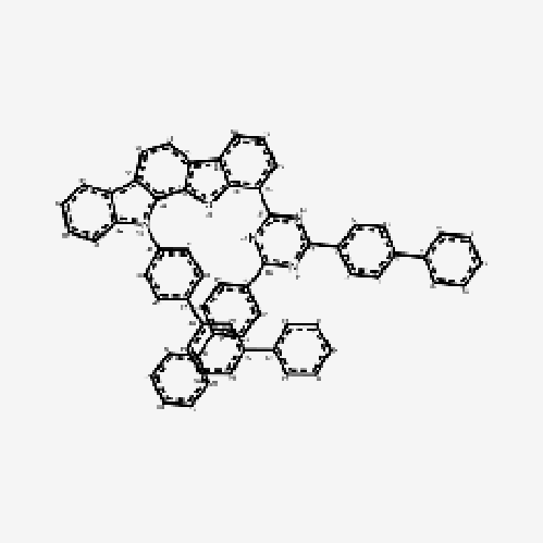 c1ccc(-c2ccc(-c3nc(-c4ccc(-c5ccccc5)cc4)nc(-c4cccc5c4oc4c5ccc5c6ccccc6n(-c6ccc(-c7cccc(-c8ccccc8)c7)cc6)c54)n3)cc2)cc1